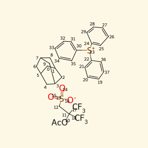 C1C2CC3CC1CC(C2)C3.CC(=O)OC(CS(=O)(=O)[O-])(C(F)(F)F)C(F)(F)F.c1ccc([S+](c2ccccc2)c2ccccc2)cc1